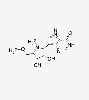 O=c1[nH]cnc2c([C@H]3[C@H](O)[C@H](O)[C@@H](COP)N3P)c[nH]c12